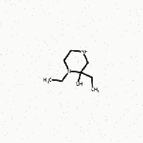 C[CH]N1CCNCC1(O)CC